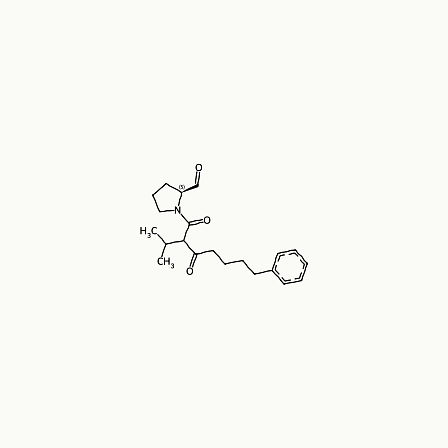 CC(C)C(C(=O)CCCCc1ccccc1)C(=O)N1CCC[C@H]1C=O